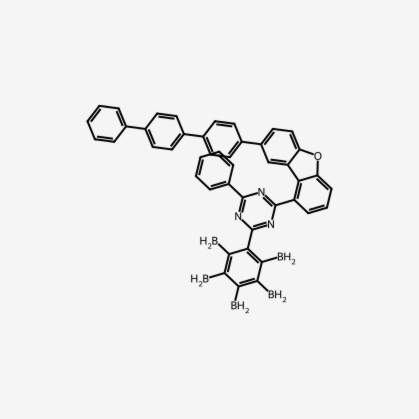 Bc1c(B)c(B)c(-c2nc(-c3ccccc3)nc(-c3cccc4oc5ccc(-c6ccc(-c7ccc(-c8ccccc8)cc7)cc6)cc5c34)n2)c(B)c1B